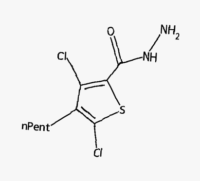 CCCCCc1c(Cl)sc(C(=O)NN)c1Cl